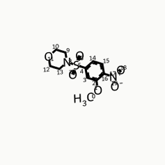 COc1cc(S(=O)(=O)N2CCOCC2)ccc1[N+](=O)[O-]